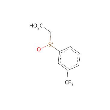 O=C(O)C[S+]([O-])c1cccc(C(F)(F)F)c1